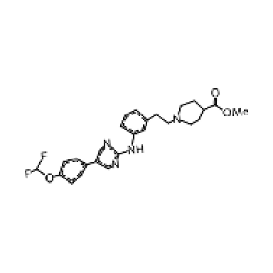 COC(=O)C1CCN(CCc2cccc(Nc3ncc(-c4ccc(OC(F)F)cc4)cn3)c2)CC1